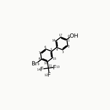 Oc1ccc(-c2ccc(Br)c(C(F)(F)F)c2)cc1